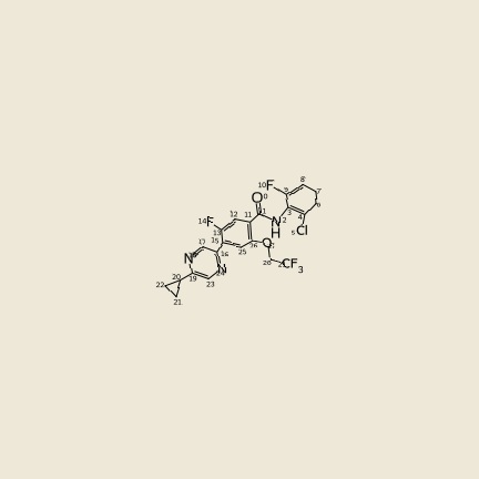 O=C(NC1=C(Cl)CCC=C1F)c1cc(F)c(-c2cnc(C3CC3)cn2)cc1OCC(F)(F)F